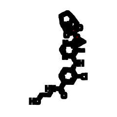 Cc1c(Nc2ccc(C(=O)NCCO)cc2Cl)ncnc1OC1CC2CCC(C1)N2S(=O)(=O)C1CC1